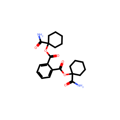 NC(=O)C1(OC(=O)c2ccccc2C(=O)OC2(C(N)=O)CCCCC2)CCCCC1